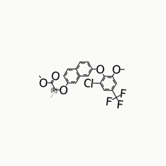 COC(=O)[C@@H](C)Oc1ccc2ccc(Oc3c(Cl)cc(C(F)(F)F)cc3OC)cc2c1